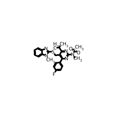 CC(C)c1nc(N(C)S(C)(=O)=O)nc(-c2ccc(F)cc2)c1CSc1nc2ccccc2n1C